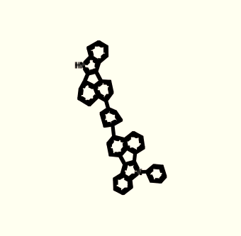 c1ccc(-n2c3c(c4ccccc42)-c2ccc(-c4ccc(-c5ccc6c7c(cccc57)-c5[nH]c7ccccc7c5-6)cc4)c4cccc-3c24)cc1